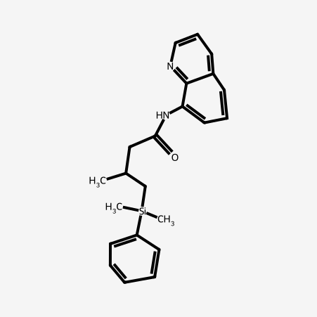 CC(CC(=O)Nc1cccc2cccnc12)C[Si](C)(C)c1ccccc1